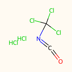 Cl.Cl.O=C=NC(Cl)(Cl)Cl